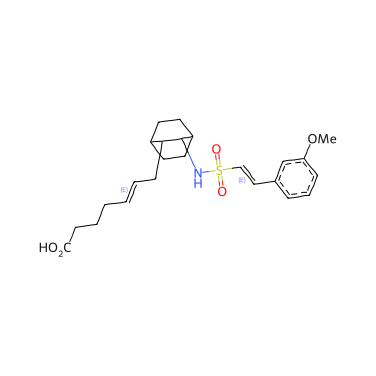 COc1cccc(/C=C/S(=O)(=O)NC2C3CCC(CC3)C2C/C=C/CCCC(=O)O)c1